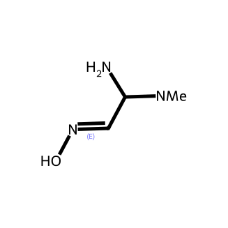 CNC(N)/C=N/O